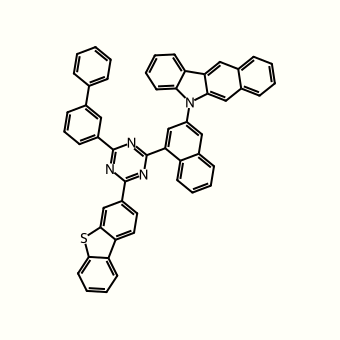 c1ccc(-c2cccc(-c3nc(-c4ccc5c(c4)sc4ccccc45)nc(-c4cc(-n5c6ccccc6c6cc7ccccc7cc65)cc5ccccc45)n3)c2)cc1